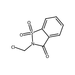 O=C1c2ccccc2S(=O)(=O)N1CCl